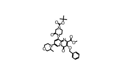 COC(=O)c1nc2c(N3CCN(C(=O)OC(C)(C)C)CC3=O)cc(N3CCOCC3C)cn2c(=O)c1OCc1ccccc1